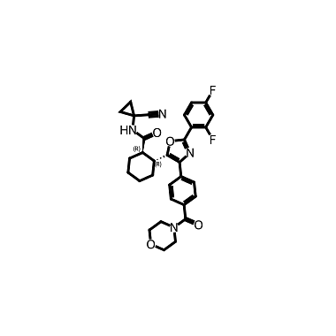 N#CC1(NC(=O)[C@@H]2CCCC[C@H]2c2oc(-c3ccc(F)cc3F)nc2-c2ccc(C(=O)N3CCOCC3)cc2)CC1